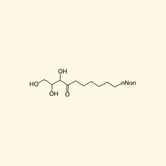 CCCCCCCCCCCCCCCC(=O)C(O)C(O)CO